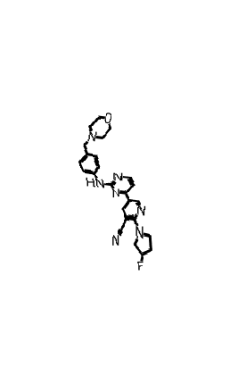 N#Cc1cc(-c2ccnc(Nc3ccc(CN4CCOCC4)cc3)n2)cnc1N1CCC(F)C1